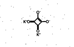 O=c1c([O-])c([O-])c1=O.[K+].[K+]